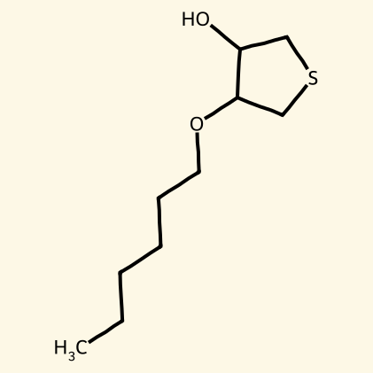 CCCCCCOC1CSCC1O